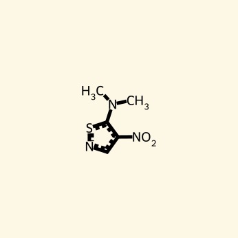 CN(C)c1sncc1[N+](=O)[O-]